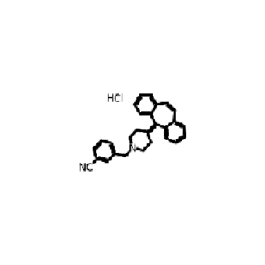 Cl.N#Cc1cccc(CN2CCC(=C3c4ccccc4C=Cc4ccccc43)CC2)c1